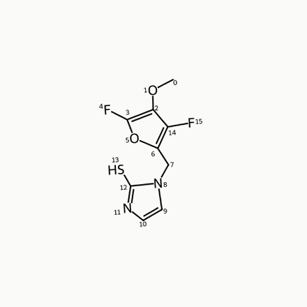 COc1c(F)oc(Cn2ccnc2S)c1F